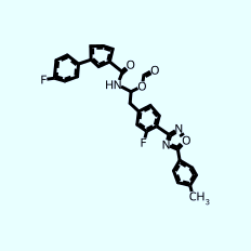 Cc1ccc(-c2nc(-c3ccc(CC(NC(=O)c4cccc(-c5ccc(F)cc5)c4)OC=O)cc3F)no2)cc1